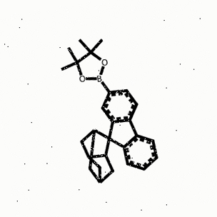 CC1(C)OB(c2ccc3c(c2)C2(c4ccccc4-3)C3CC4CC(C3)C2C4)OC1(C)C